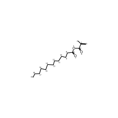 C=C(C)C(=O)OC(=O)CCCCCCCCCCCC